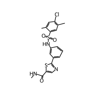 CNC(=O)c1cnc(-c2cccc(NS(=O)(=O)c3cc(C)c(Cl)cc3C)c2)s1